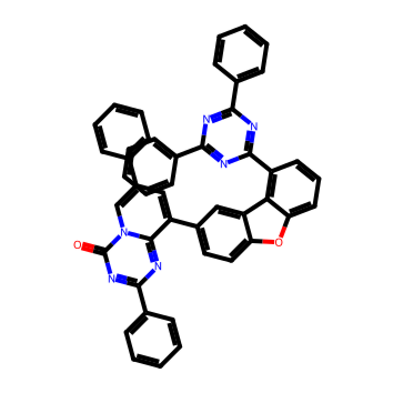 O=c1nc(-c2ccccc2)nc2c(-c3ccc4oc5cccc(-c6nc(-c7ccccc7)nc(-c7ccccc7)n6)c5c4c3)cc(-c3ccccc3)cn12